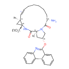 CCOC(=O)[C@@]12C[C@H]1/C=C\CCCCC[C@H](N)C(=O)N1C[C@H](Oc3nc4ccccc4c4ccccc34)C[C@H]1C(=O)N2